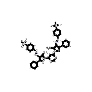 CS(=O)(=O)c1ccc(/N=N/c2c(-c3ccccc3)nn(-c3cc(-n4nc(-c5ccccc5)c(/N=N/c5ccc(S(C)(=O)=O)cc5)c4N)ncn3)c2N)cc1